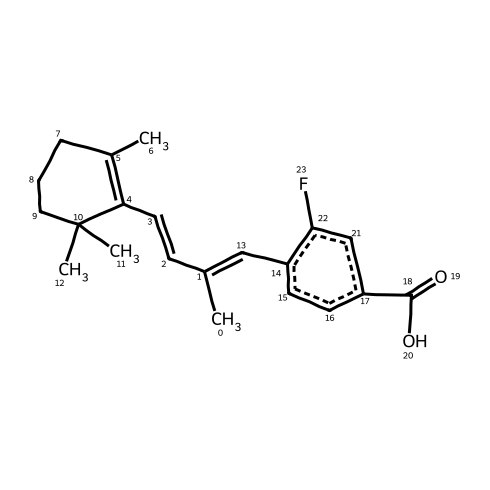 CC(C=CC1=C(C)CCCC1(C)C)=Cc1ccc(C(=O)O)cc1F